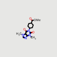 COC(=O)C1CCC(n2c(=O)c3c(ncn3C)n(C)c2=O)CC1